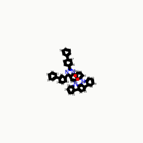 c1ccc(-c2ccc(-c3nc(-c4cccc(-c5ccccc5)c4)c4cc(-n5c6ccccc6c6ccc7c8ccccc8n(-c8ccccc8)c7c65)ccc4n3)cc2)cc1